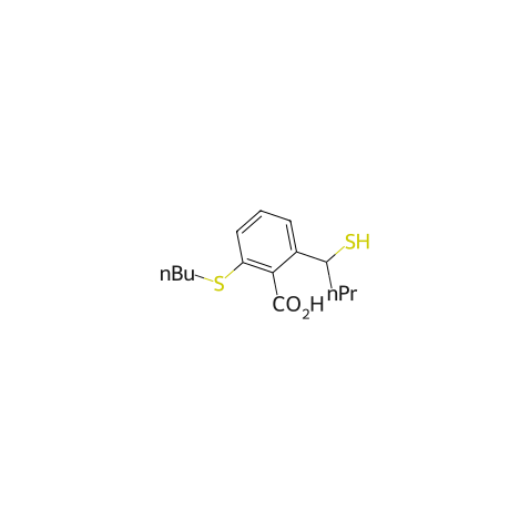 CCCCSc1cccc(C(S)CCC)c1C(=O)O